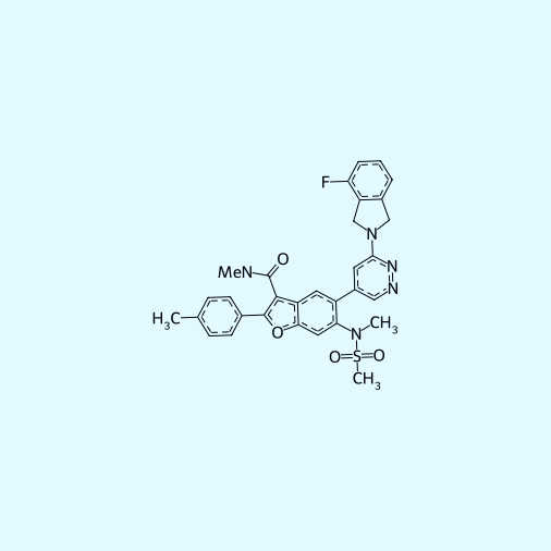 CNC(=O)c1c(-c2ccc(C)cc2)oc2cc(N(C)S(C)(=O)=O)c(-c3cnnc(N4Cc5cccc(F)c5C4)c3)cc12